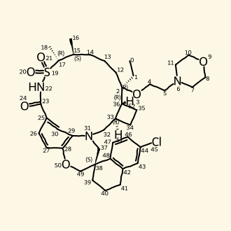 CC[C@@]1(OCCN2CCOCC2)CCC[C@H](C)[C@@H](C)S(=O)(=O)NC(=O)c2ccc3c(c2)N(C[C@@H]2CC[C@H]21)C[C@@]1(CCCc2cc(Cl)ccc21)CO3